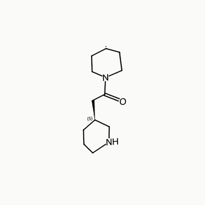 O=C(C[C@@H]1CCCNC1)N1CC[CH]CC1